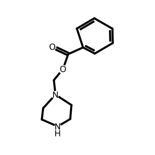 O=C(OCN1CCNCC1)c1ccccc1